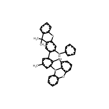 Cc1cc(-c2cc3c(cc2Nc2ccccc2)Sc2ccccc2C3(C)C)c2c(c1)N1c3ccccc3Oc3cccc(c31)B2